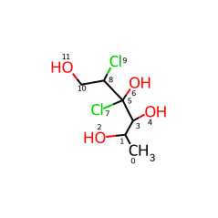 CC(O)C(O)C(O)(Cl)C(Cl)CO